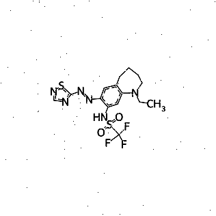 CCN1CCCCc2cc(N=Nc3ncns3)c(NS(=O)(=O)C(F)(F)F)cc21